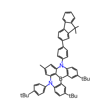 Cc1cc2c3c(c1)N(c1ccc(C(C)(C)C)cc1)c1ccc(C(C)(C)C)cc1B3c1cc(C(C)(C)C)ccc1N2c1ccc(-c2ccc3c(c2)C(C)(C)c2ccccc2-3)cc1